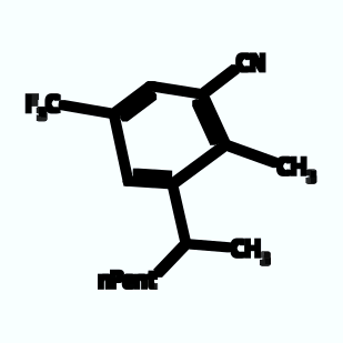 CCCCCC(C)c1cc(C(F)(F)F)cc(C#N)c1C